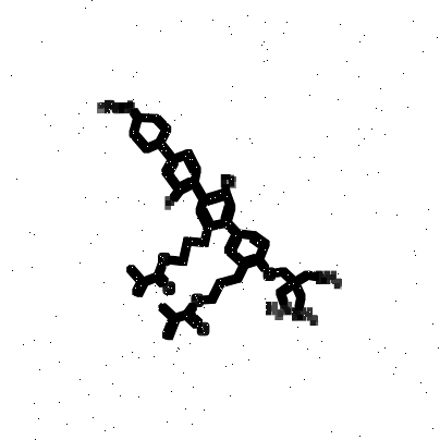 C=C(C)C(=O)OCCCc1cc(-c2cc(CC)c(-c3ccc(C4CCC(CCCCC)CC4)cc3F)cc2CCCOC(=O)C(=C)C)ccc1OCC(CN)(CN)CN